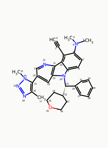 C#Cc1c(N(C)C)ccc2c1c1ncc(-c3c(C)nnn3C)cc1n2[C@H](c1ccccc1)C1CCOCC1